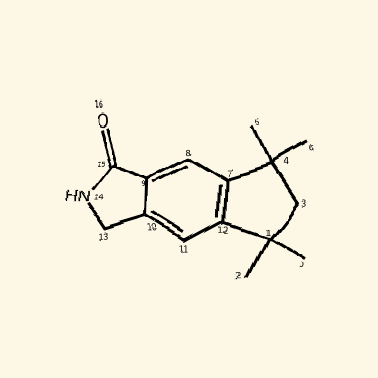 CC1(C)CC(C)(C)c2cc3c(cc21)CNC3=O